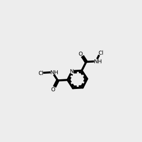 O=C(NCl)c1cccc(C(=O)NCl)n1